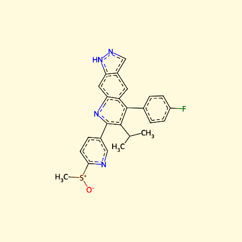 CC(C)c1c(-c2ccc([S+](C)[O-])nc2)nc2cc3[nH]ncc3cc2c1-c1ccc(F)cc1